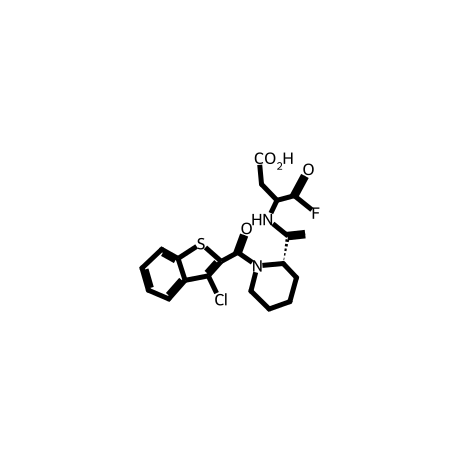 C=C(NC(CC(=O)O)C(=O)F)[C@@H]1CCCCN1C(=O)c1sc2ccccc2c1Cl